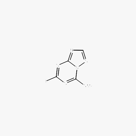 CNc1nc(Cl)nc2ncnn12